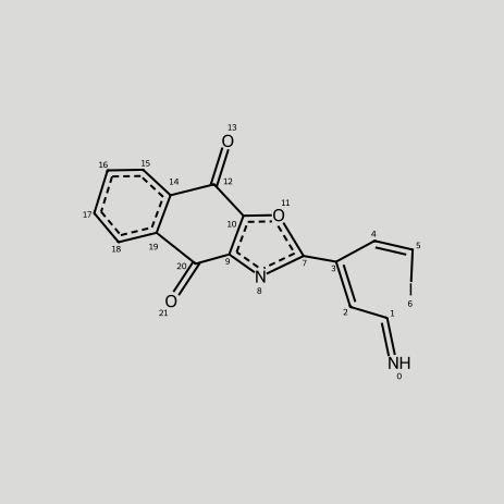 N=C/C=C(\C=C/I)c1nc2c(o1)C(=O)c1ccccc1C2=O